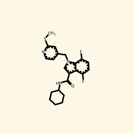 CSc1cc(Cn2cc(C(=O)NC3CCCCC3)c3c(F)ccc(F)c32)ccn1